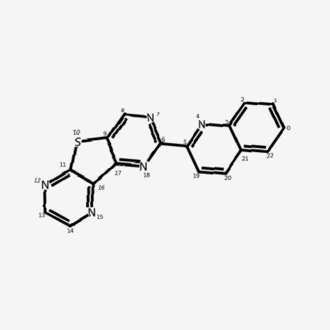 c1ccc2nc(-c3ncc4sc5nccnc5c4n3)ccc2c1